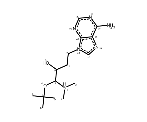 C[SiH](C)C(OC(C)(C)C)C(O)CCn1cnc2c(N)ncnc21